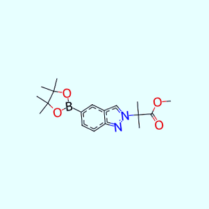 COC(=O)C(C)(C)n1cc2cc(B3OC(C)(C)C(C)(C)O3)ccc2n1